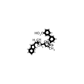 CN(CC(O)CNC(C)(C)CC1Cc2ccccc2C1)S(=O)(=O)c1cccc(-c2cccc(C(=O)O)c2)c1